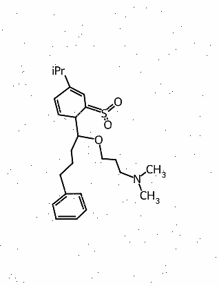 CC(C)C1=CC(=S(=O)=O)C(C(CCCc2ccccc2)OCCCN(C)C)C=C1